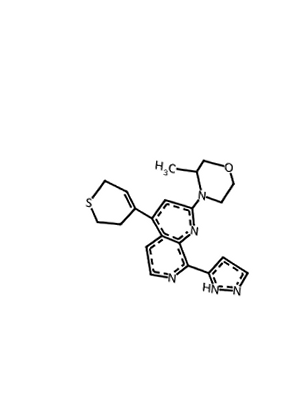 CC1COCCN1c1cc(C2=CCSCC2)c2ccnc(-c3ccn[nH]3)c2n1